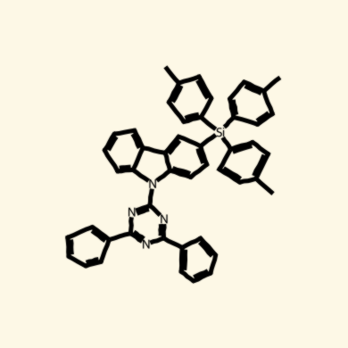 Cc1ccc([Si](c2ccc(C)cc2)(c2ccc(C)cc2)c2ccc3c(c2)c2ccccc2n3-c2nc(-c3ccccc3)nc(-c3ccccc3)n2)cc1